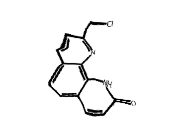 O=c1ccc2ccc3ccc(CCl)nc3c2[nH]1